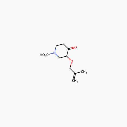 C=C(C)COC1CN(C(=O)O)CCC1=O